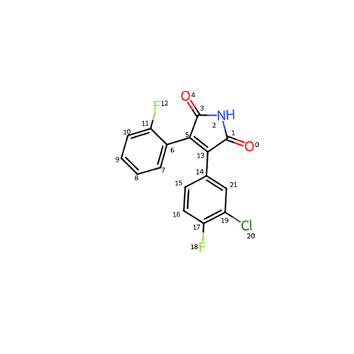 O=C1NC(=O)C(c2ccccc2F)=C1c1ccc(F)c(Cl)c1